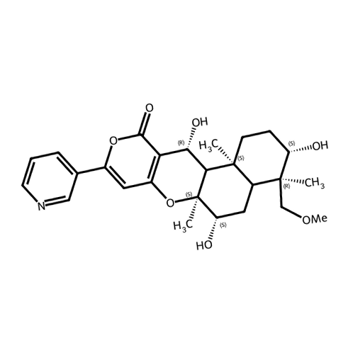 COC[C@@]1(C)C2C[C@H](O)[C@@]3(C)Oc4cc(-c5cccnc5)oc(=O)c4[C@H](O)C3[C@@]2(C)CC[C@@H]1O